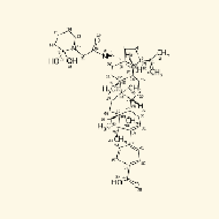 C=C(C)[C@@H]1CC[C@]2(CNC(=O)CN3CCCCS3(O)O)CC[C@]3(C)[C@H](CC[C@@H]4[C@@]5(C)CC=C(c6ccc(C(=O)O)cc6)C(C)(C)[C@@H]5CC[C@]43C)[C@@H]12